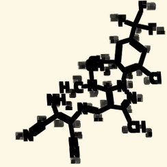 Cc1nn(-c2c(Cl)cc(C(F)(F)F)cc2Cl)c(N(C)C)c1C=NC(C#N)=C(N)C#N